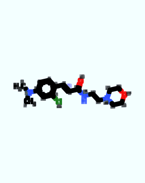 CN(C)c1ccc(/C=C/C(=O)NCCN2CCOCC2)c(Cl)c1